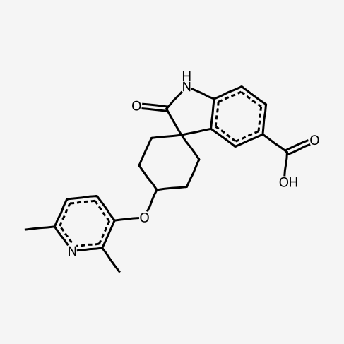 Cc1ccc(OC2CCC3(CC2)C(=O)Nc2ccc(C(=O)O)cc23)c(C)n1